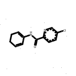 O=C(NC1=C[CH]CC=C1)c1ccc(Cl)cn1